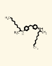 CCCCCCCCC(C)Nc1ccc(Cc2ccc(NC(C)CCCCCCCC)cc2)cc1